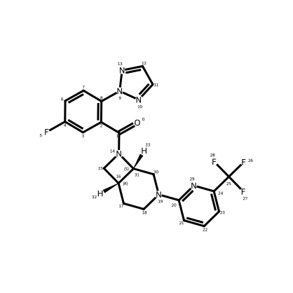 O=C(c1cc(F)ccc1-n1nccn1)N1C[C@H]2CCN(c3cccc(C(F)(F)F)n3)C[C@H]21